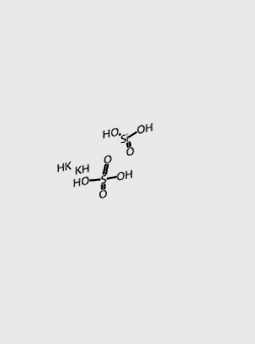 O=S(=O)(O)O.O=[Si](O)O.[KH].[KH]